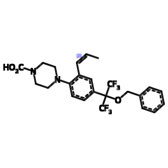 C/C=C\c1cc(C(OCc2ccccc2)(C(F)(F)F)C(F)(F)F)ccc1N1CCN(C(=O)O)CC1